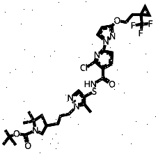 Cc1c(SNC(=O)c2ccc(-n3ccc(OCCC4(C(F)(F)F)CC4)n3)nc2Cl)cnn1CCCC1CN(C(=O)OC(C)(C)C)C(C)(C)C1